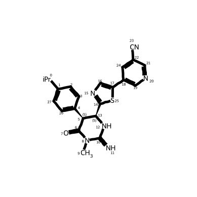 CC(C)c1ccc([C@@H]2C(=O)N(C)C(=N)N[C@@H]2c2ncc(-c3cncc(C#N)c3)s2)cc1